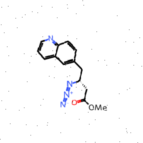 COC(=O)C[C@@H](Cc1ccc2ncccc2c1)N=[N+]=[N-]